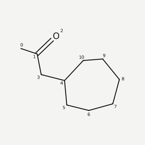 CC(=O)CC1CCCCCC1